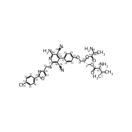 CC(C)[C@H](N)C(=O)OC[C@H](COc1ccc(-c2c(C#N)c(N)nc(SCc3coc(-c4ccc(Cl)cc4)n3)c2C#N)cc1)OC(=O)[C@H](C)N